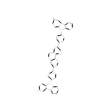 Fc1ccc2c(c1)c1ccccc1n2-c1ccc(-c2cnc3c(ccc4cc(-c5ccc(-n6c7ccccc7c7cc(F)ccc76)cc5)cnc43)c2)cc1